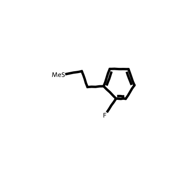 CSCCc1ccccc1F